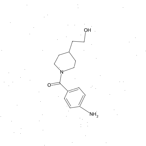 Nc1ccc(C(=O)N2CCC(CCO)CC2)cc1